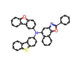 c1ccc(-c2nc3cc(N(c4ccc5oc6ccccc6c5c4)c4ccc5sc6ccccc6c5c4)c4ccccc4c3o2)cc1